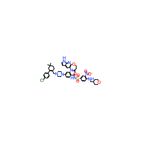 C[C@@H]1CCOc2nc3[nH]ccc3cc2N1c1cc(N2CCN(CC3=C(c4ccc(Cl)cc4)CC(C)(C)CC3)CC2)ccc1C(=O)NS(=O)(=O)c1ccc(NCC2CCOCC2)c([N+](=O)[O-])c1